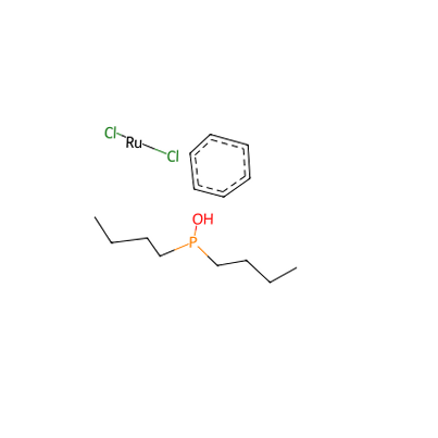 CCCCP(O)CCCC.[Cl][Ru][Cl].c1ccccc1